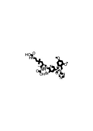 COc1ccc(CN(c2ncns2)S(=O)(=O)c2cnc(NC[C@H](CC(C)(C)CCNC(=O)O)[C@@H](C)NC(=O)O)c(Br)c2)c(OC)c1